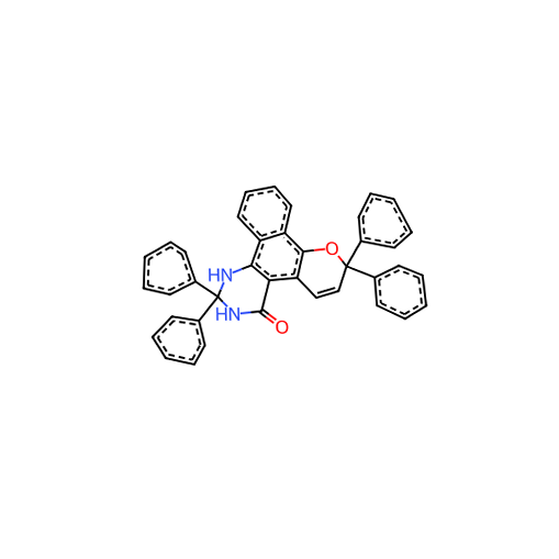 O=C1NC(c2ccccc2)(c2ccccc2)Nc2c1c1c(c3ccccc23)OC(c2ccccc2)(c2ccccc2)C=C1